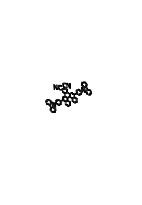 N#Cc1cc2c(cc1C#N)c1cc(-c3ccc(-n4c5ccccc5c5ccccc54)cc3)c3ccccc3c1c1c3ccccc3c(-c3ccc(-n4c5ccccc5c5ccccc54)cc3)cc21